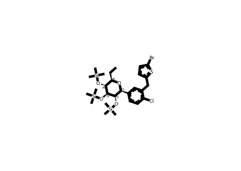 CC[C@H]1O[C@@H](c2ccc(Cl)c(Cc3ccc(Br)s3)c2)[C@H](O[Si](C)(C)C)[C@@H](O[Si](C)(C)C)[C@@H]1O[Si](C)(C)C